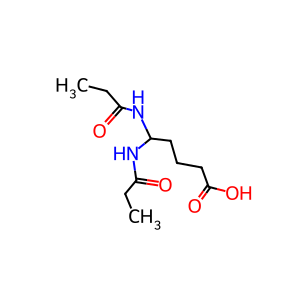 CCC(=O)NC(CCCC(=O)O)NC(=O)CC